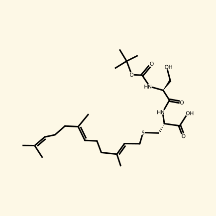 CC(C)=CCCC(C)=CCCC(C)=CCSC[C@H](NC(=O)[C@H](CO)NC(=O)OC(C)(C)C)C(=O)O